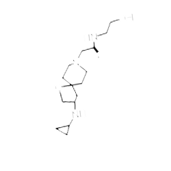 O=C(CN1CCC2(CC1)CC(NC1CC1)CO2)NCCO